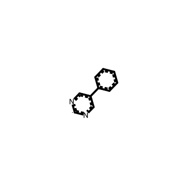 [c]1ncc(-c2ccccc2)cn1